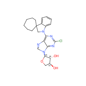 O[C@H]1[C@H](n2cnc3c(N4CC5(CCCCCC5)c5ccccc54)nc(Cl)nc32)OC[C@@H]1O